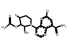 CC(C)(C)C1C(OC(N)=O)C(F)CCN1c1ncnc2c(C(N)=O)cc(Cl)nc12